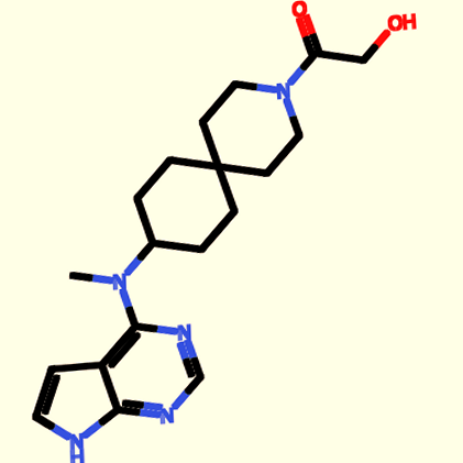 CN(c1ncnc2[nH]ccc12)C1CCC2(CC1)CCN(C(=O)CO)CC2